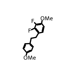 COc1ccc(CCc2ccc(OC)c(F)c2F)cc1